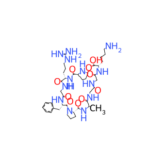 C[C@H](NC(=O)[C@@H]1CCCN1C(=O)[C@H](Cc1ccccc1)NC(=O)CNC(=O)[C@H](CCCNC(=N)N)NC(=O)[C@@H]1CCCN1)C(=O)NCC(=O)NCC(=O)N[C@@H](CCCCN)C(=O)O